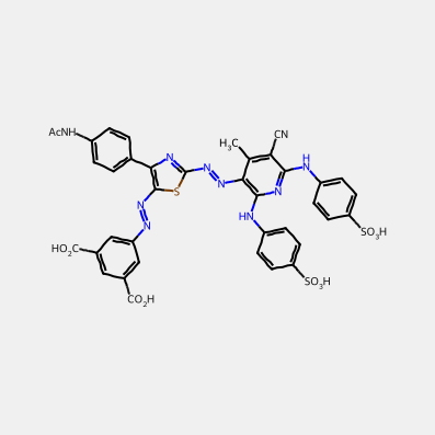 CC(=O)Nc1ccc(-c2nc(N=Nc3c(Nc4ccc(S(=O)(=O)O)cc4)nc(Nc4ccc(S(=O)(=O)O)cc4)c(C#N)c3C)sc2N=Nc2cc(C(=O)O)cc(C(=O)O)c2)cc1